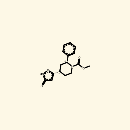 COC(=O)N1CC[C@H](c2cc(=O)[nH]o2)C[C@H]1c1ccccc1